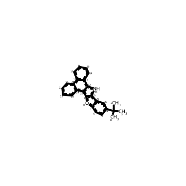 CC(C)(C)c1ccc2oc3c([nH]c4c5ccccc5c5ccccc5c43)c2c1